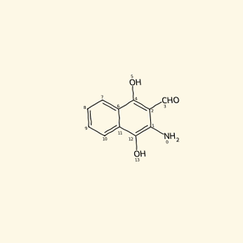 Nc1c(C=O)c(O)c2ccccc2c1O